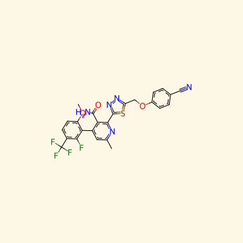 COc1ccc(C(F)(F)F)c(F)c1-c1cc(C)nc(-c2nnc(COc3ccc(C#N)cc3)s2)c1C(N)=O